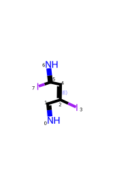 N=C/C(I)=C\C(=N)I